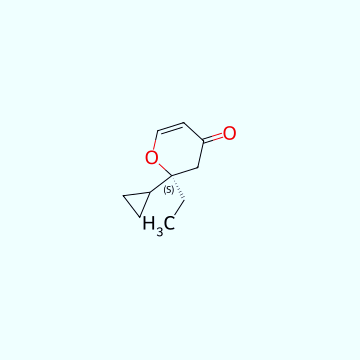 CC[C@@]1(C2CC2)CC(=O)C=CO1